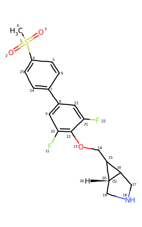 CS(=O)(=O)c1ccc(-c2cc(F)c(OCC3C4CNC[C@@H]43)c(F)c2)cc1